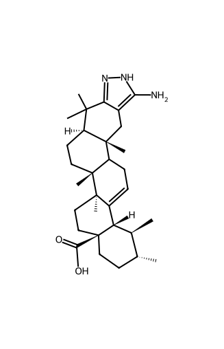 C[C@H]1[C@H](C)CC[C@]2(C(=O)O)CC[C@]3(C)C(=CCC4[C@@]5(C)Cc6c(n[nH]c6N)C(C)(C)[C@@H]5CC[C@]43C)[C@H]12